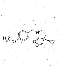 COc1ccc(CN2CC[C@@](C=O)(C3CC3)C2=O)cc1